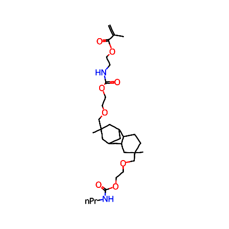 C=C(C)C(=O)OCCNC(=O)OCCOCC1(C)CC2CC(C1)C1CC(C)(COCCOC(=O)NCCC)CCC21